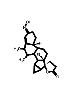 CC[C@]12CCC3C(C(C)C(C)C4=C/C(=N/O)CC[C@@H]43)C1C1CC1[C@@]21CCC(=O)O1